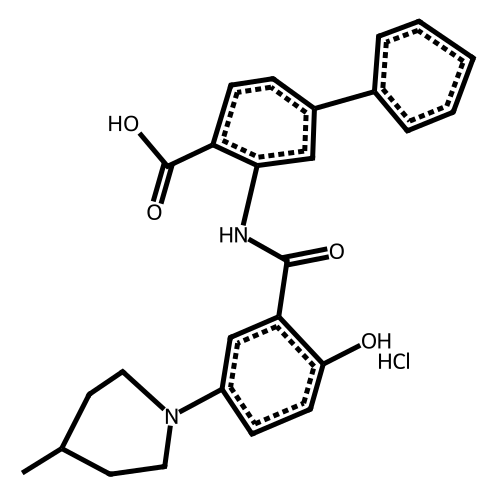 CC1CCN(c2ccc(O)c(C(=O)Nc3cc(-c4ccccc4)ccc3C(=O)O)c2)CC1.Cl